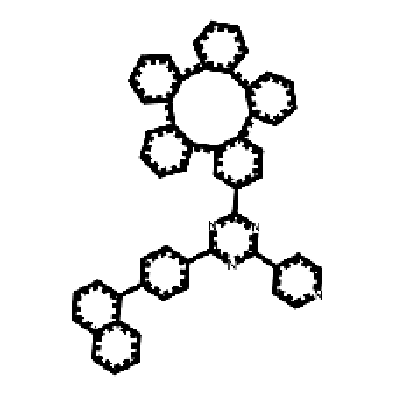 c1ccc2c(-c3ccc(-c4nc(-c5ccncc5)nc(-c5ccc6c7ccccc7c7ccccc7c7ccccc7c7ccccc7c6c5)n4)cc3)cccc2c1